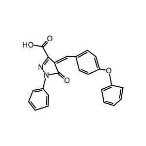 O=C(O)C1=NN(c2ccccc2)C(=O)/C1=C\c1ccc(Oc2ccccc2)cc1